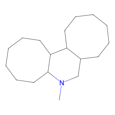 CN1CC2CCCCCCC2C2CCCCCCC21